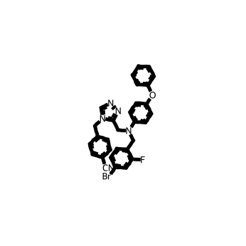 N#Cc1ccc(Cn2cnnc2CN(Cc2ccc(Br)cc2F)c2ccc(Oc3ccccc3)cc2)cc1